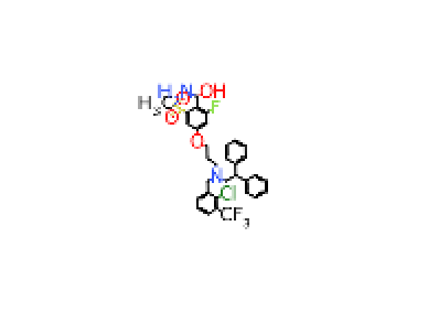 CS(=O)(=O)c1cc(OCCCN(Cc2cccc(C(F)(F)F)c2Cl)CC(c2ccccc2)c2ccccc2)cc(F)c1C(N)O